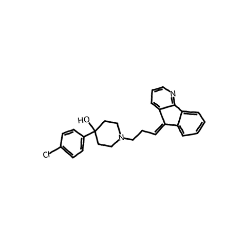 OC1(c2ccc(Cl)cc2)CCN(CCC=C2c3ccccc3-c3ncccc32)CC1